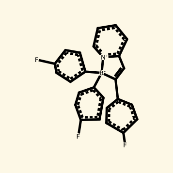 Fc1ccc(C2=Cc3cccc[n+]3[B-]2(c2ccc(F)cc2)c2ccc(F)cc2)cc1